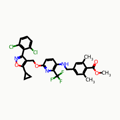 COC(=O)c1c(C)cc(CNc2ccc(OCc3c(-c4c(Cl)cccc4Cl)noc3C3CC3)nc2C(F)(F)F)cc1C